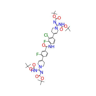 CC(C)(C)OC(=O)N=C(NC(=O)OC(C)(C)C)N1CC=C(c2ccc(C(=O)Nc3ccc(C4=CCN(C(=NC(=O)OC(C)(C)C)NC(=O)OC(C)(C)C)CC4)c(Cl)c3F)cc2F)CC1